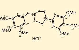 COc1cc(CN2CCN(c3cc(OC)c(OC)c(OC)c3)CC2)cc(OC)c1OC.Cl